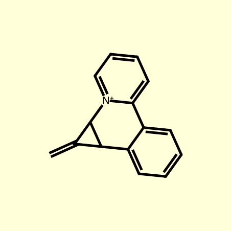 C=C1C2c3ccccc3-c3cccc[n+]3C12